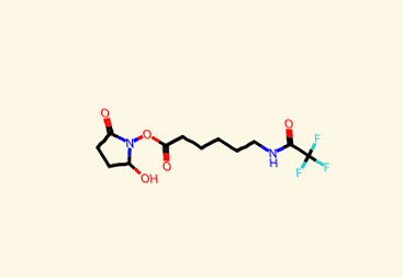 O=C(CCCCCNC(=O)C(F)(F)F)ON1C(=O)CCC1O